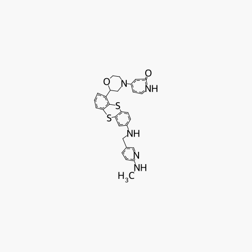 CNc1ccc(CNc2ccc3c(c2)Sc2cccc(C4CN(c5cc[nH]c(=O)c5)CCO4)c2S3)cn1